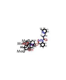 CCN1C[C@]2(OC(=O)c3ccccc3NC(=O)/C(C)=C/c3cccc(C)n3)CC[C@H](OC)[C@]34C1[C@@H](C[C@H]23)[C@@]1(O)C[C@H](OC)[C@H]2C[C@@H]4[C@]1(O)C2OC